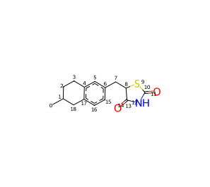 CC1CCc2cc(CC3SC(=O)NC3=O)ccc2C1